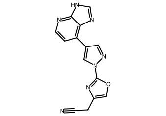 N#CCc1coc(-n2cc(-c3ccnc4[nH]cnc34)cn2)n1